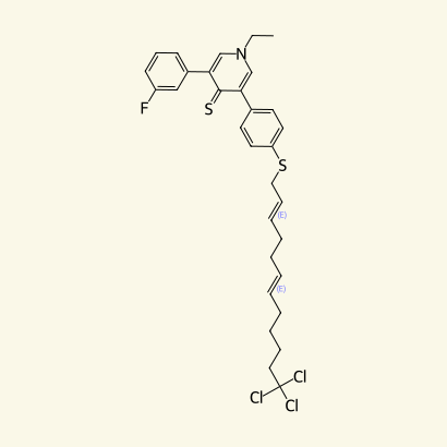 CCn1cc(-c2ccc(SC/C=C/CC/C=C/CCCCC(Cl)(Cl)Cl)cc2)c(=S)c(-c2cccc(F)c2)c1